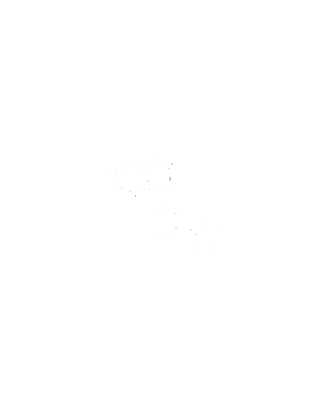 CCOC(=O)N(C)C(=O)COc1cccc2cccnc12